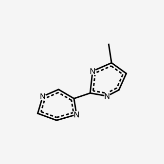 Cc1ccnc(-c2cnccn2)n1